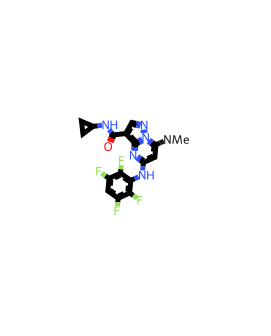 CNc1cc(Nc2c(F)c(F)cc(F)c2F)nc2c(C(=O)NC3CC3)cnn12